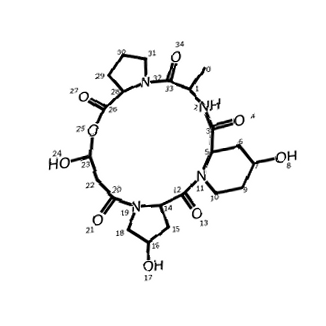 CC1NC(=O)C2CC(O)CCN2C(=O)C2CC(O)CN2C(=O)CC(O)OC(=O)C2CCCN2C1=O